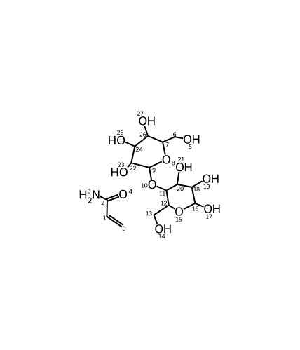 C=CC(N)=O.OCC1OC(OC2C(CO)OC(O)C(O)C2O)C(O)C(O)C1O